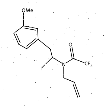 C=CCN(C(=O)C(F)(F)F)C(I)Cc1cccc(OC)c1